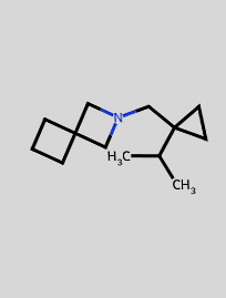 CC(C)C1(CN2CC3(CCC3)C2)CC1